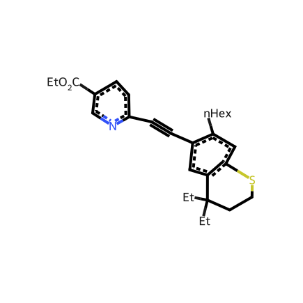 CCCCCCc1cc2c(cc1C#Cc1ccc(C(=O)OCC)cn1)C(CC)(CC)CCS2